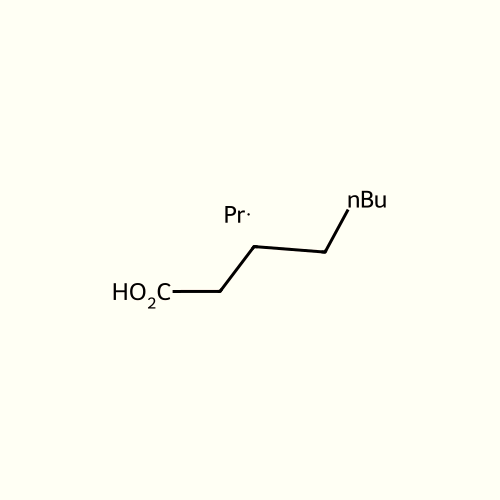 CCCCCCCC(=O)O.[Pr]